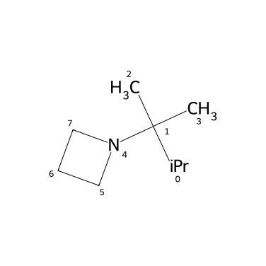 CC(C)C(C)(C)N1CCC1